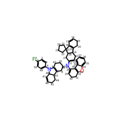 Fc1ccc(N2C3=C(C[C@@H](N(C4=CCC5C6=C(C=CCC6)C6(CCCC6)C5C4)C4=CCCc5oc6ccccc6c54)CC3)C3CCC=CC32)cc1